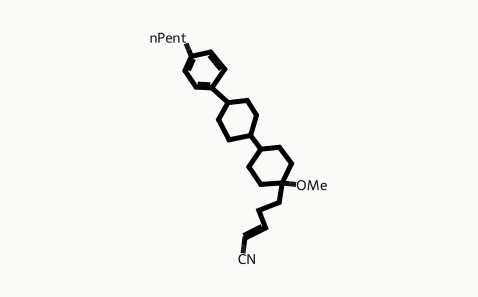 CCCCCc1ccc(C2CCC(C3CCC(CCC=CC#N)(OC)CC3)CC2)cc1